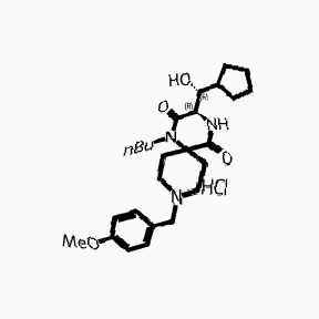 CCCCN1C(=O)[C@@H]([C@H](O)C2CCCC2)NC(=O)C12CCN(Cc1ccc(OC)cc1)CC2.Cl